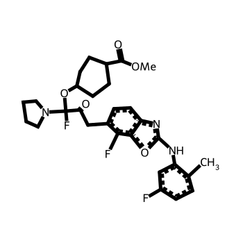 COC(=O)C1CCC(OC(F)(C(=O)Cc2ccc3nc(Nc4cc(F)ccc4C)oc3c2F)N2CCCC2)CC1